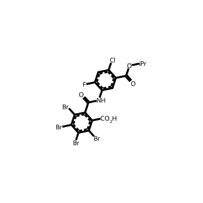 CC(C)OC(=O)c1cc(NC(=O)c2c(Br)c(Br)c(Br)c(Br)c2C(=O)O)c(F)cc1Cl